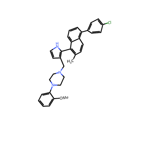 COc1ccccc1N1CCN(Cc2cc[nH]c2-c2c(C)ccc3c(-c4ccc(Cl)cc4)cccc23)CC1